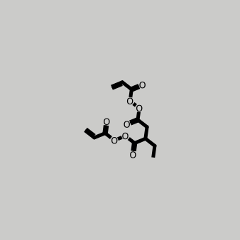 C=CC(=O)OOC(=O)CC(CC)C(=O)OOC(=O)C=C